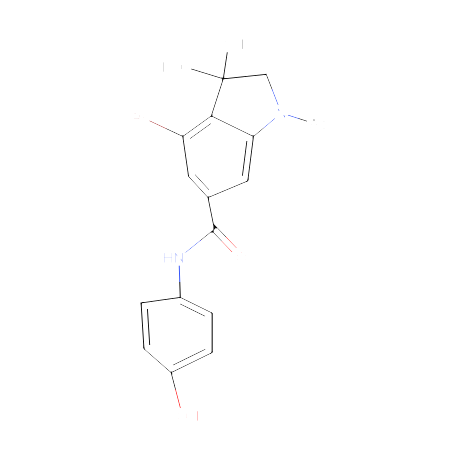 CC(=O)N1CC(C)(C)c2c(Br)cc(C(=O)Nc3ccc(O)cc3)cc21